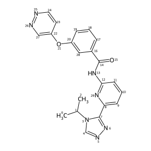 CC(C)n1cnnc1-c1cccc(NC(=O)c2cccc(Oc3ccnnc3)c2)n1